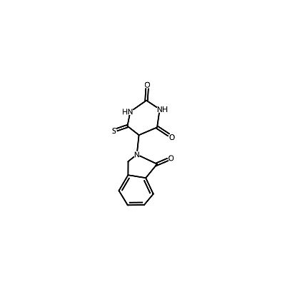 O=C1NC(=O)C(N2Cc3ccccc3C2=O)C(=S)N1